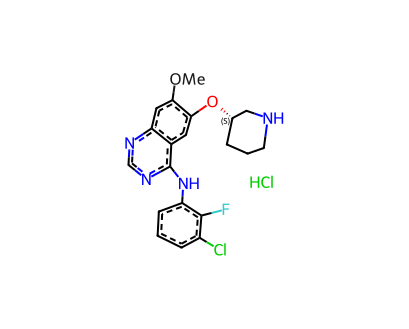 COc1cc2ncnc(Nc3cccc(Cl)c3F)c2cc1O[C@H]1CCCNC1.Cl